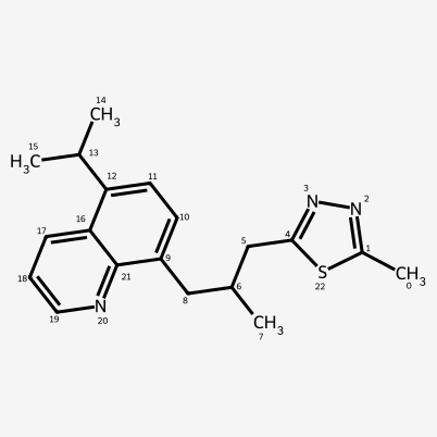 Cc1nnc(CC(C)Cc2ccc(C(C)C)c3cccnc23)s1